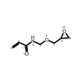 C=CC(=O)NCOCC1CO1